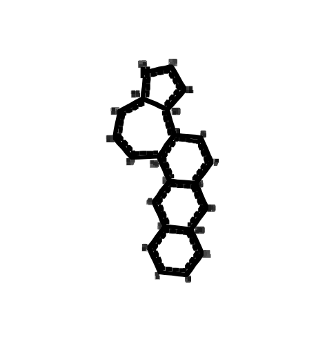 c1ccc2cc3c(ccc4c5ccnc-5cccc43)cc2c1